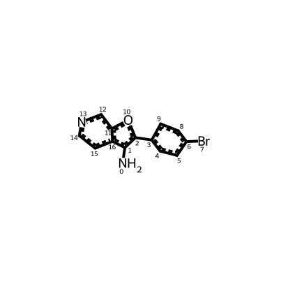 Nc1c(-c2ccc(Br)cc2)oc2cnccc12